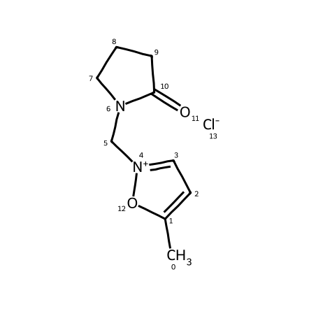 Cc1cc[n+](CN2CCCC2=O)o1.[Cl-]